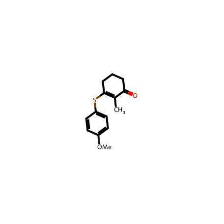 COc1ccc(SC2=C(C)C(=O)CCC2)cc1